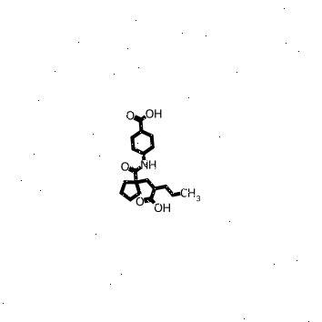 CCCC(CC1(C(=O)NC2CCC(C(=O)O)CC2)CCCC1)C(=O)O